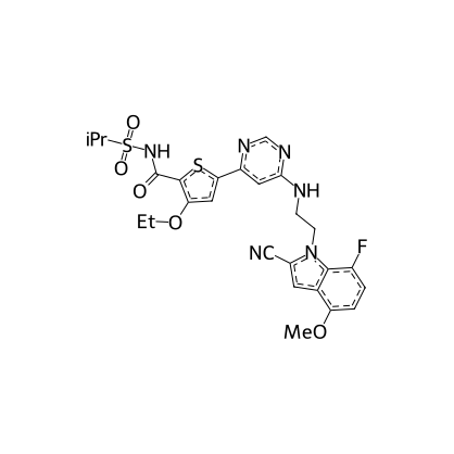 CCOc1cc(-c2cc(NCCn3c(C#N)cc4c(OC)ccc(F)c43)ncn2)sc1C(=O)NS(=O)(=O)C(C)C